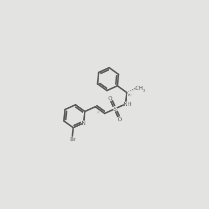 C[C@H](NS(=O)(=O)/C=C/c1cccc(Br)n1)c1ccccc1